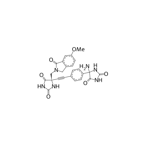 COc1ccc2c(c1)C(=O)N(C[C@@]1(C#Cc3ccc(C4(N)NC(=O)NC4=O)cc3)NC(=O)NC1=O)C2